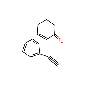 C#Cc1ccccc1.O=C1C=CCCC1